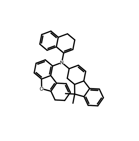 CC1(C)c2ccccc2C2C=CC(N(C3=CCCc4ccccc43)c3cccc4oc5c(c34)C=CCC5)CC21